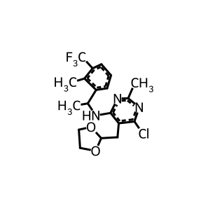 Cc1nc(Cl)c(CC2OCCO2)c(NC(C)c2cccc(C(F)(F)F)c2C)n1